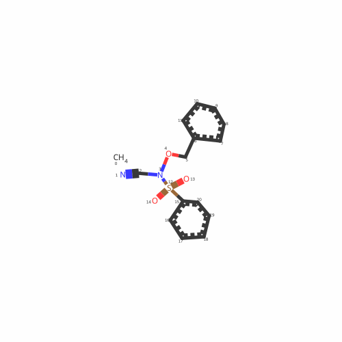 C.N#CN(OCc1ccccc1)S(=O)(=O)c1ccccc1